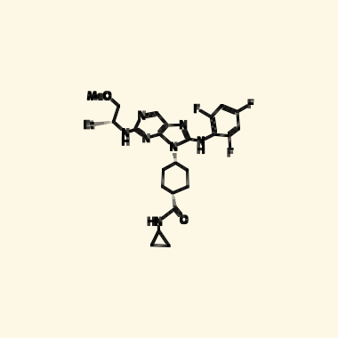 CC[C@H](COC)Nc1ncc2nc(Nc3c(F)cc(F)cc3F)n([C@H]3CC[C@@H](C(=O)NC4CC4)CC3)c2n1